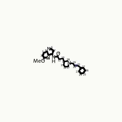 COc1ccc2nccc(NC(=O)CCC3CCCN(C/C=C/c4ccccc4)C3)c2n1